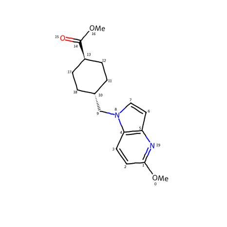 COc1ccc2c(ccn2C[C@H]2CC[C@H](C(=O)OC)CC2)n1